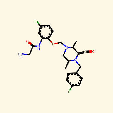 CC1C(=C=O)N(Cc2ccc(F)cc2)C(C)CN1COc1ccc(Cl)cc1NC(=O)CN